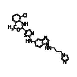 Cc1cccc(Cl)c1NC(=O)c1cnc(Nc2ccc3c(c2)ncn3NCCCn2ccnc2)s1